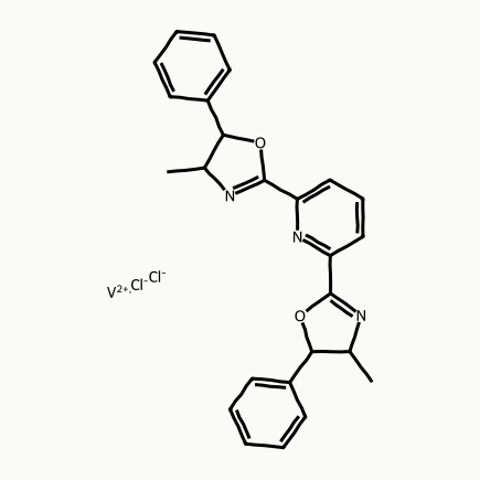 CC1N=C(c2cccc(C3=NC(C)C(c4ccccc4)O3)n2)OC1c1ccccc1.[Cl-].[Cl-].[V+2]